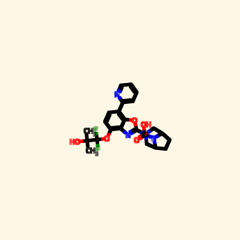 CC(C)(O)C(F)(F)Oc1ccc(-c2ccccn2)c2oc(N3CC4CCC(C3)N4C(=O)O)nc12